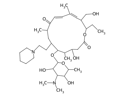 CCC1OC(=O)CC(O)C(C)C(OC2OC(C)C(O)C(N(C)C)C2O)C(CCN2CCCCC2)CC(C)C(=O)/C=C/C(C)=C/C1CO